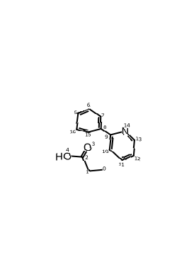 CCC(=O)O.c1ccc(-c2ccccn2)cc1